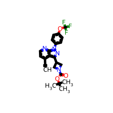 C#Cc1ccnc2c1c(C1CN(C(=O)OC(C)(C)C)C1)nn2-c1ccc(OC(F)(F)F)cc1